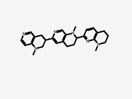 CN1CC(c2cc3c(cn2)N(C)C(c2ccc4c(n2)N(C)CCC4)CC3)Cc2cnccc21